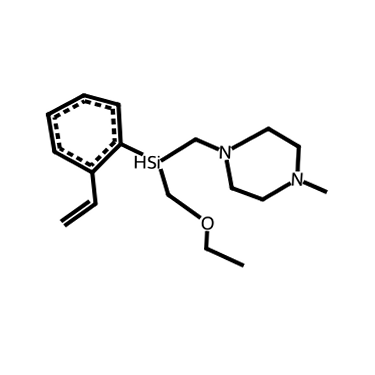 C=Cc1ccccc1[SiH](COCC)CN1CCN(C)CC1